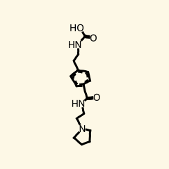 O=C(O)NCCc1ccc(C(=O)NCCN2CCCC2)cc1